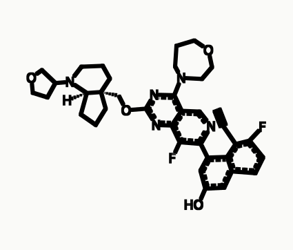 C#Cc1c(F)ccc2cc(O)cc(-c3ncc4c(N5CCCOCC5)nc(OC[C@]56CCC[C@H]5N(C5CCOC5)CCC6)nc4c3F)c12